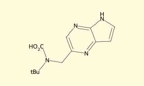 CC(C)(C)N(Cc1cnc2[nH]ccc2n1)C(=O)O